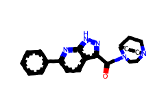 O=C(c1n[nH]c2nc(-c3ccccc3)ccc12)N1CCN2CCC1CC2